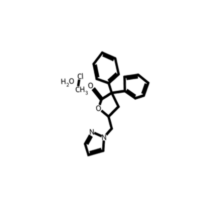 CCl.O.O=C1OC(Cn2cccn2)CC1(c1ccccc1)c1ccccc1